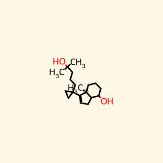 CC(C)(O)CCCC1(C2=CCC3C(O)CCC[C@@]23C)CC1